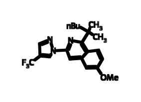 CCCCC(C)(C)c1nc(-n2cc(C(F)(F)F)cn2)cc2cc(OC)ccc12